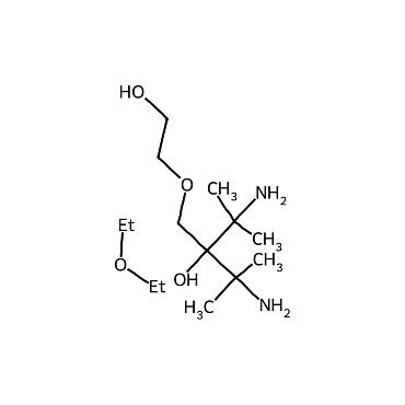 CC(C)(N)C(O)(COCCO)C(C)(C)N.CCOCC